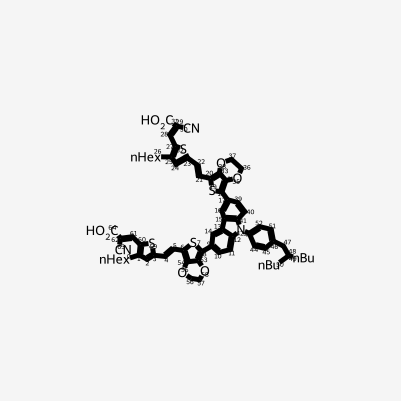 CCCCCCc1cc(/C=C/c2sc(-c3ccc4c(c3)c3cc(-c5sc(/C=C/c6cc(CCCCCC)c(/C=C(\C#N)C(=O)O)s6)c6c5OCCO6)ccc3n4-c3ccc(CC(CCCC)CCCC)cc3)c3c2OCCO3)sc1/C=C(\C#N)C(=O)O